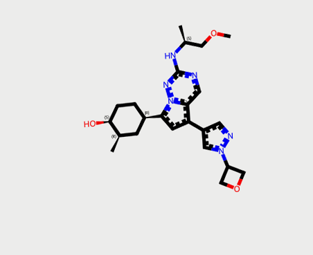 COC[C@H](C)Nc1ncc2c(-c3cnn(C4COC4)c3)cc([C@@H]3CC[C@H](O)[C@H](C)C3)n2n1